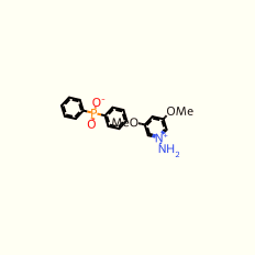 COc1cc(OC)c[n+](N)c1.O=P([O-])(c1ccccc1)c1ccccc1